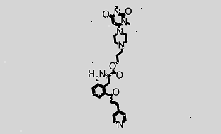 Cn1c(N2CCN(CCCOC(=O)[C@@H](N)Cc3ccccc3C(=O)C=Cc3ccncc3)CC2)cc(=O)n(C)c1=O